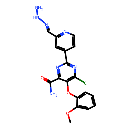 COc1ccccc1Oc1c(Cl)nc(-c2ccnc(C=NNN)c2)nc1C(N)=O